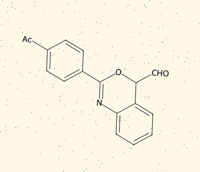 CC(=O)c1ccc(C2=Nc3ccccc3C(C=O)O2)cc1